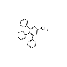 [CH2]c1cc(-c2ccccc2)c(-c2ccccc2)c(-c2ccccc2)c1